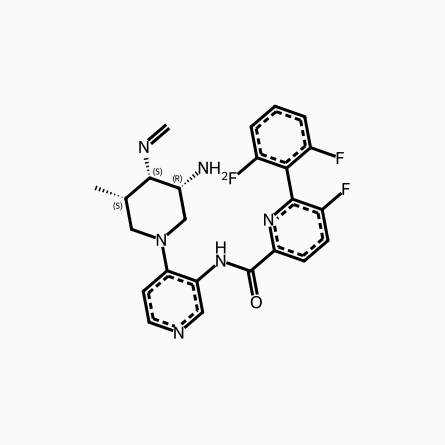 C=N[C@@H]1[C@H](N)CN(c2ccncc2NC(=O)c2ccc(F)c(-c3c(F)cccc3F)n2)C[C@@H]1C